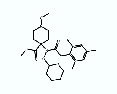 COC(=O)C1(N(OC2CCCCO2)C(=O)Cc2c(C)cc(C)cc2C)CCN(OC)CC1